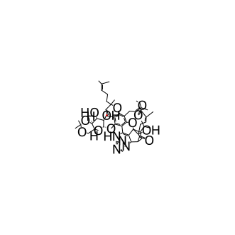 COC(=O)/C(C)=C\CC1(O)C(=O)C2CC(C(C)C)C13Oc1c(CC=C(C)C)c4c(c(O[C@@H]5O[C@@H]6COC(C)(C)O[C@H]6[C@H](O)[C@H]5O)c1C1=C3C2n2cnc(n2)N1)C=CC(C)(CCC=C(C)C)O4